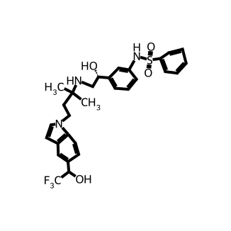 CC(C)(CCn1ccc2cc(C(O)C(F)(F)F)ccc21)NC[C@H](O)c1cccc(NS(=O)(=O)c2ccccc2)c1